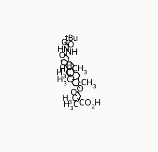 C[C@@H]1C2CC[C@]3(C)C(CC[C@@H]4[C@H]5CCC[C@]5(CC(=O)NNC(=O)OC(C)(C)C)CC[C@]43C)[C@@]2(C)CC[C@@H]1OC(=O)CC(C)(C)C(=O)O